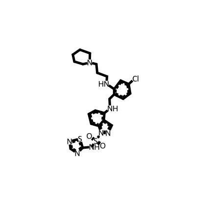 O=S(=O)(Nc1ncns1)n1ncc2c(NCc3ccc(Cl)cc3NCCCN3CCCCC3)cccc21